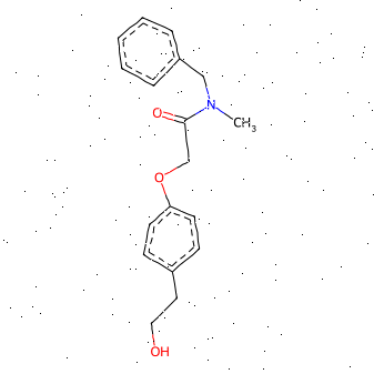 CN(Cc1ccccc1)C(=O)COc1ccc(CCO)cc1